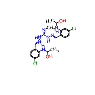 CN=C(N/N=C/c1ccc(Cl)cc1NC(C)O)N/N=C/c1ccc(Cl)cc1NC(C)O